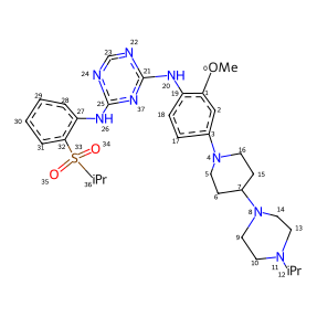 COc1cc(N2CCC(N3CCN(C(C)C)CC3)CC2)ccc1Nc1ncnc(Nc2ccccc2S(=O)(=O)C(C)C)n1